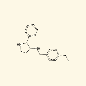 CCc1ccc(CNC2CCNC2c2ccccc2)cc1